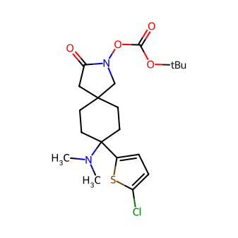 CN(C)C1(c2ccc(Cl)s2)CCC2(CC1)CC(=O)N(OC(=O)OC(C)(C)C)C2